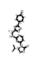 CC(C)[C@H]1COC(=O)N1c1ccnc(N[C@H](C)c2nc(-c3ccc(Cl)cc3)no2)n1